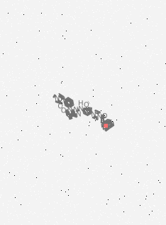 COc1cc(N2CCN(C(=O)CC34CC5CC(CC(C5)C3)C4)CC2)ccc1Nc1ncc2c(C)cc(=O)n(-c3cccc(N4CCN(C)CC4=O)c3)c2n1